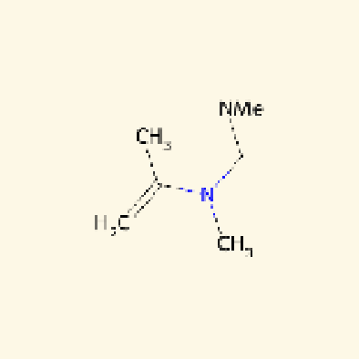 C=C(C)N(C)CNC